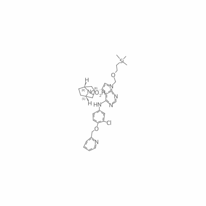 C[Si](C)(C)CCOCn1cc([C@H]2C[C@H]3CC[C@@H](C2)N3C(=O)O)c2c(Nc3ccc(OCc4ccccn4)c(Cl)c3)ncnc21